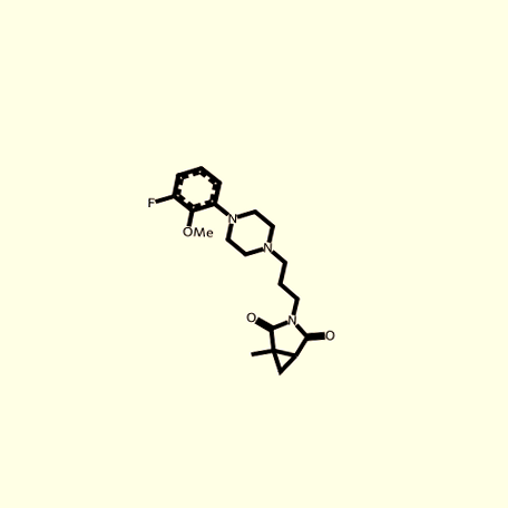 COc1c(F)cccc1N1CCN(CCCN2C(=O)C3CC3(C)C2=O)CC1